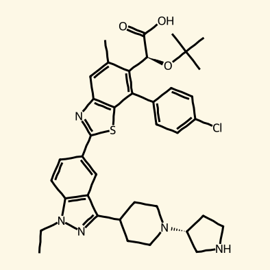 CCn1nc(C2CCN([C@@H]3CCNC3)CC2)c2cc(-c3nc4cc(C)c([C@H](OC(C)(C)C)C(=O)O)c(-c5ccc(Cl)cc5)c4s3)ccc21